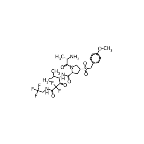 COc1ccc(CS(=O)(=O)[C@@H]2C[C@@H](C(=O)N[C@H](C(=O)C(F)(F)C(=O)NCC(F)(F)F)C(C)C)N(C(=O)[C@H](C)N)C2)cc1